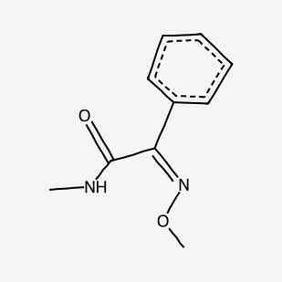 CNC(=O)C(=NOC)c1ccccc1